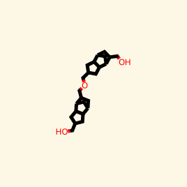 OCC1CC2C3CC(COCC4CC5C6CC(CO)C(C6)C5C4)C(C3)C2C1